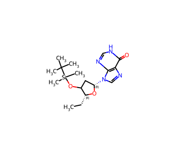 CC[C@H]1O[C@@H](n2cnc3c(=O)[nH]cnc32)CC1O[Si](C)(C)C(C)(C)C